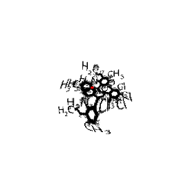 C=CCc1c(C)ccc(C(=CC2(C=C(c3ccc(C)cc3)c3ccc(C)c(CC=C)c3N)OC(=O)c3c(Cl)c(Cl)c(Cl)c(Cl)c32)c2ccc(C)cc2)c1N